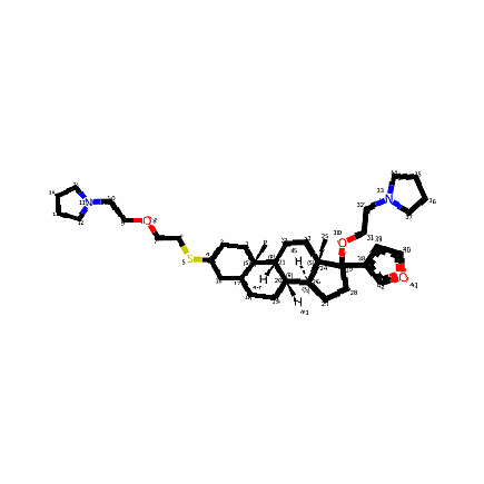 C[C@]12CCC(SCCOCCN3CCCC3)CC1CC[C@@H]1[C@H]2CC[C@@]2(C)[C@H]1CCC2(OCCN1CCCC1)c1ccoc1